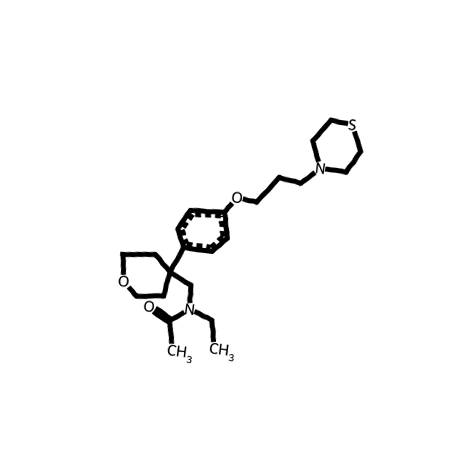 CCN(CC1(c2ccc(OCCCN3CCSCC3)cc2)CCOCC1)C(C)=O